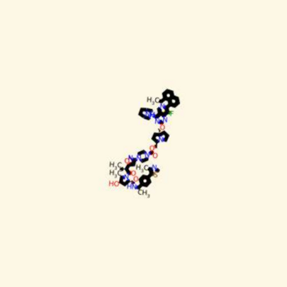 CCc1cccc2cccc(-c3ncc4c(N5CC6CCC(C5)N6)nc(OC[C@]56CCCN5[C@@H](COC(=O)N5CCN(c7cc([C@H](C(=O)N8C[C@H](O)C[C@H]8C(=O)N[C@@H](C)c8ccc(-c9scnc9C)cc8)C(C)C)on7)CC5)CC6)nc4c3F)c12